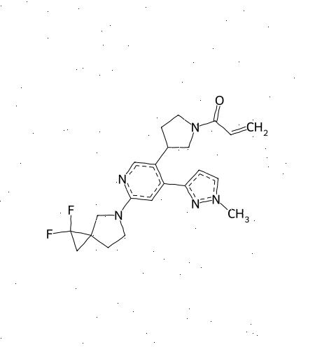 C=CC(=O)N1CCC(c2cnc(N3CCC4(C3)CC4(F)F)cc2-c2ccn(C)n2)C1